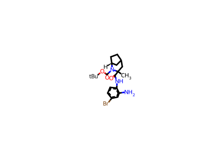 CC(C)(C)OC(=O)N1[C@@H]2CCC(C2)CC1(C)C(=O)Nc1ccc(Br)cc1N